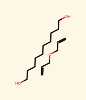 C=CCOCC=C.OCCCCCCCCCCO